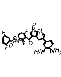 N=Cc1cc(-c2cnc3[nH]cc(C(=O)c4c(F)ccc(NS(=O)(=O)c5cc(F)ccc5F)c4F)c3c2)ccc1N